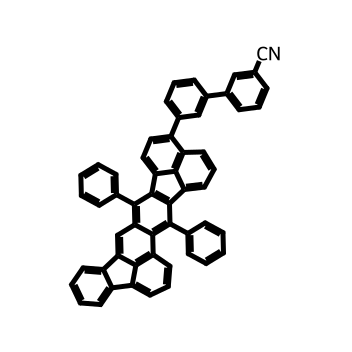 N#Cc1cccc(-c2cccc(-c3ccc4c5c(-c6ccccc6)c6cc7c8ccccc8c8cccc(c6c(-c6ccccc6)c5c5cccc3c45)c87)c2)c1